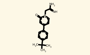 CC(C)(C)c1ccc(-c2ccn(CC(=N)N)c(=O)c2)cc1